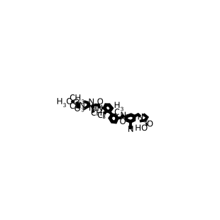 Cc1c(-c2nc3cc(CN4CC[C@H](C(=O)O)C4)cc(C#N)c3o2)cccc1-c1cccc(NC(=O)c2nc3c(n2C)CN(C(=O)OC(C)(C)C)C3)c1Cl